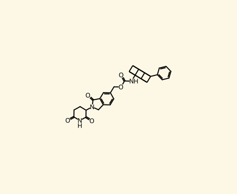 O=C1CCC(N2Cc3ccc(COC(=O)NC45C6C7C4C4C5C6C74c4ccccc4)cc3C2=O)C(=O)N1